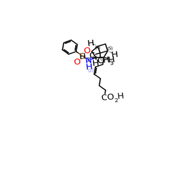 CC1(C)[C@H]2C[C@@H](NS(=O)(=O)c3ccccc3)[C@@H](C/C=C\CCCC(=O)O)[C@@H]1C2